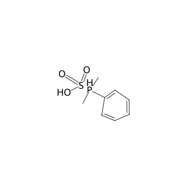 C[PH](C)(c1ccccc1)S(=O)(=O)O